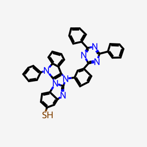 Sc1ccc2c(c1)nc1n(-c3cccc(-c4nc(-c5ccccc5)nc(-c5ccccc5)n4)c3)c3c4ccccc4n(-c4ccccc4)c3n21